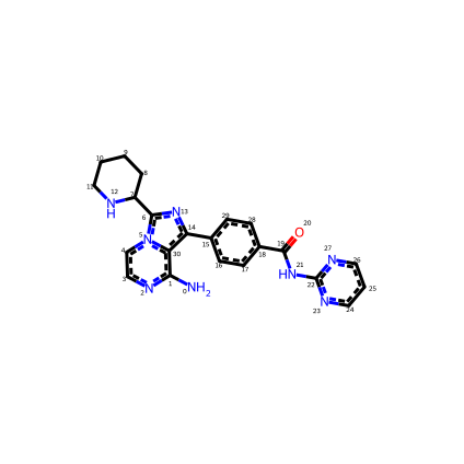 Nc1nccn2c(C3CCCCN3)nc(-c3ccc(C(=O)Nc4ncccn4)cc3)c12